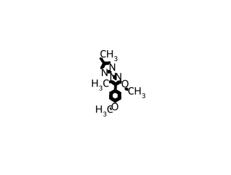 CCOc1nn(-c2ncc(CC)cn2)c(C)c1-c1ccc(OC)cc1